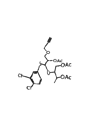 C#CCOCC(OC(C)=O)C(OC(COC(C)=O)C(C)OC(C)=O)Sc1ccc(Cl)c(Cl)c1